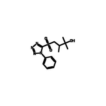 CC(CS(=O)(=O)c1nnnn1-c1ccccc1)C(C)(C)O